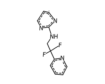 FC(F)(CNc1n[c]ccn1)c1ccccn1